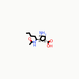 CCCCC(NC(C)=O)[C@@H]1C[C@@H](C(=O)O)C[C@H]1N